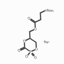 CCCCCCCCCCCC(=O)OCC1COP(=O)([O-])C(=O)O1.[Na+]